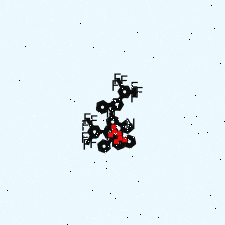 FC(F)(F)c1cc(-c2ccc3c(c2)c2ccccc2n3-c2ccc(-c3nc(-c4ccccc4)nc(-c4ccccc4)n3)c(-c3cnccc3-n3c4ccccc4c4cc(-c5cc(C(F)(F)F)cc(C(F)(F)F)c5)ccc43)c2)cc(C(F)(F)F)c1